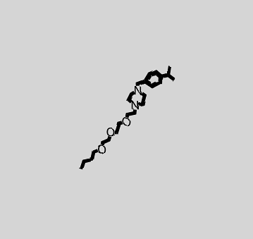 CCCCOCCOCCOCCN1CCN(Cc2ccc(C(C)C)cc2)CC1